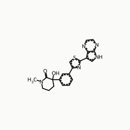 CN1CCCC(O)(c2cccc(-c3csc(-c4c[nH]c5nccnc45)n3)c2)C1=O